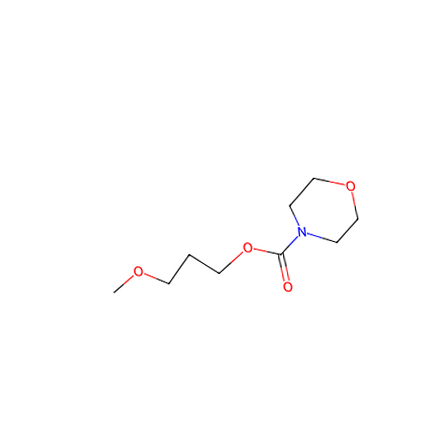 COCCCOC(=O)N1CCOCC1